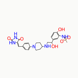 CS(=O)(=O)Nc1cc(C(O)CNC2CCN(c3ccc(C=C4NC(=O)NC4=O)cc3)CC2)ccc1O